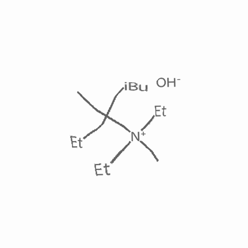 CCC(C)C(C)(CC)[N+](C)(CC)CC.[OH-]